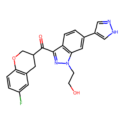 O=C(c1nn(CCO)c2cc(-c3cn[nH]c3)ccc12)C1COc2ccc(F)cc2C1